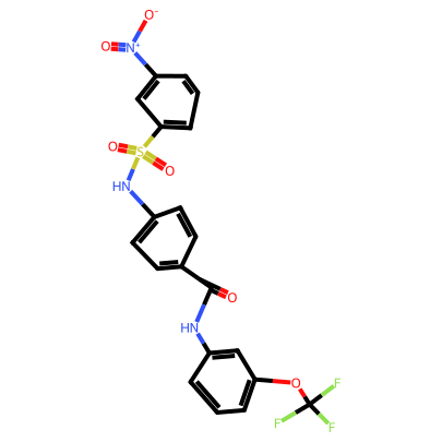 O=C(Nc1cccc(OC(F)(F)F)c1)c1ccc(NS(=O)(=O)c2cccc([N+](=O)[O-])c2)cc1